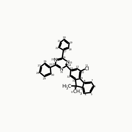 CC1(C)c2ccccc2-c2c(Cl)cc(-c3nc(-c4ccccc4)nc(-c4ccccc4)n3)cc21